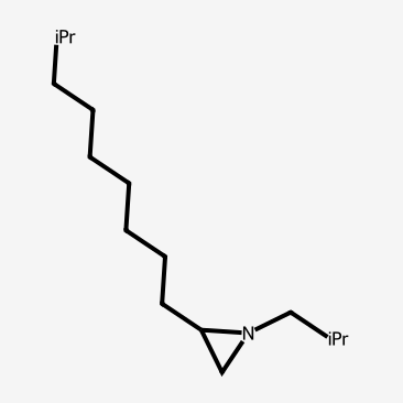 CC(C)CCCCCCCC1CN1CC(C)C